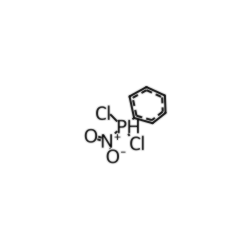 O=[N+]([O-])[PH](Cl)(Cl)c1ccccc1